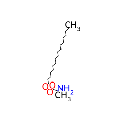 CCCCCCCCCCCCCCCCCC(=O)OC(=O)[C@@H](C)N